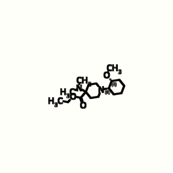 CCOC(=O)C1(N(C)C)CCN([C@@H]2CCCC[C@H]2OC)CC1